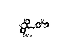 COc1ccc2c(c1)/C(=C/CCN1CCN(C(=O)c3ccco3)CC1)c1cccnc1CO2